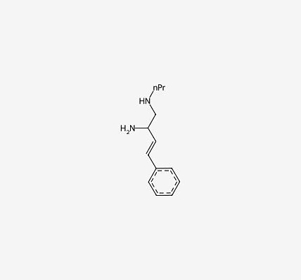 [CH2]CCNCC(N)C=Cc1ccccc1